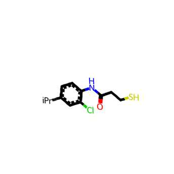 CC(C)c1ccc(NC(=O)CCS)c(Cl)c1